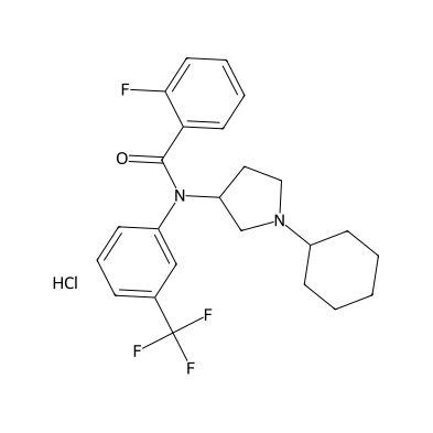 Cl.O=C(c1ccccc1F)N(c1cccc(C(F)(F)F)c1)C1CCN(C2CCCCC2)C1